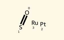 O=S.[Pt].[Ru]